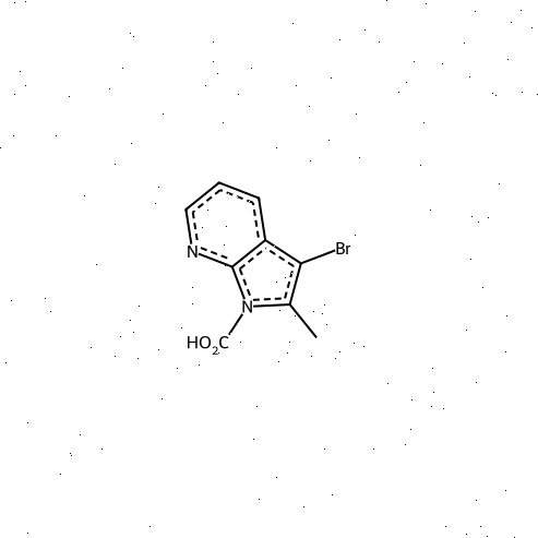 Cc1c(Br)c2cccnc2n1C(=O)O